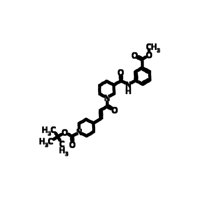 COC(=O)c1cccc(NC(=O)C2CCCN(C(=O)C=CC3CCN(C(=O)OC(C)(C)C)CC3)C2)c1